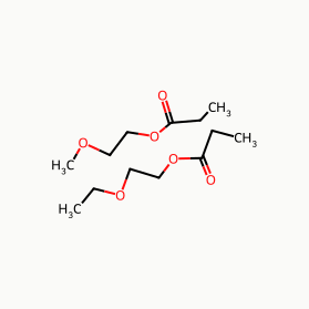 CCC(=O)OCCOC.CCOCCOC(=O)CC